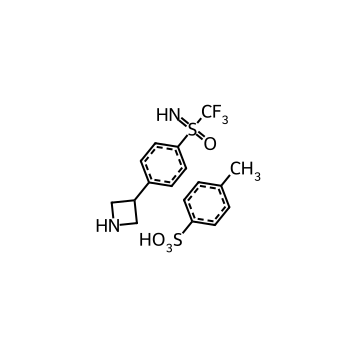 Cc1ccc(S(=O)(=O)O)cc1.N=S(=O)(c1ccc(C2CNC2)cc1)C(F)(F)F